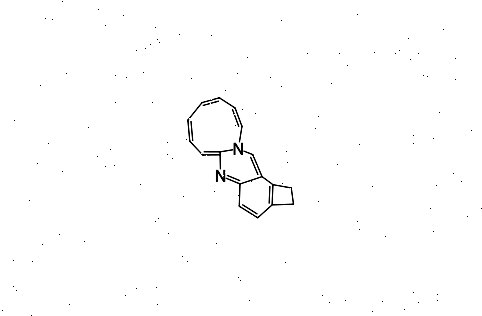 c1cccc2nc3ccc4c(c3cn2ccc1)CC4